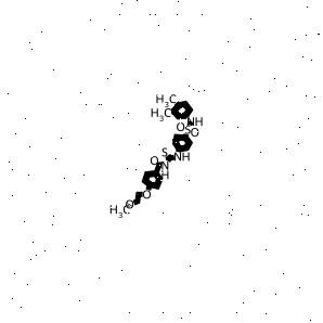 COCCOc1ccc(C(=O)NC(=S)Nc2ccc(S(=O)(=O)Nc3ccc(C)c(C)c3)cc2)cc1